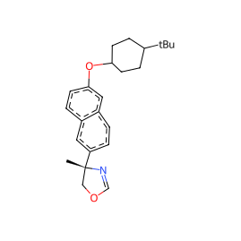 CC(C)(C)C1CCC(Oc2ccc3cc([C@@]4(C)COC=N4)ccc3c2)CC1